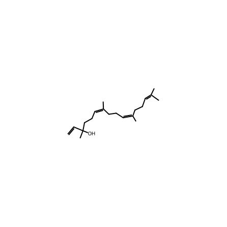 C=CC(C)(O)CCC=C(C)CCC=C(C)CCC=C(C)C